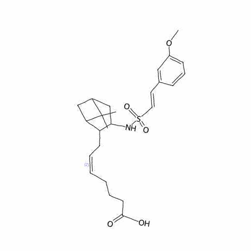 COc1cccc(C=CS(=O)(=O)NC2CC3CC(C2C/C=C\CCCC(=O)O)C3(C)C)c1